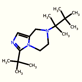 CC(C)(C)c1ncc2n1CCN(C(C)(C)C(C)(C)C)C2